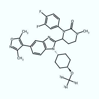 [2H]C([2H])([2H])O[C@H]1CC[C@H](n2c(C3CCN(C)C(=O)N3c3ccc(F)c(F)c3)nc3cc(-c4c(C)noc4C)ccc32)CC1